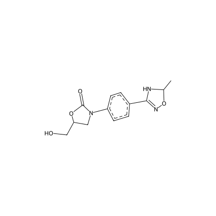 CC1NC(c2ccc(N3CC(CO)OC3=O)cc2)=NO1